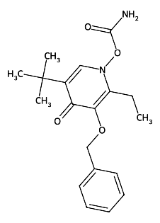 CCc1c(OCc2ccccc2)c(=O)c(C(C)(C)C)cn1OC(N)=O